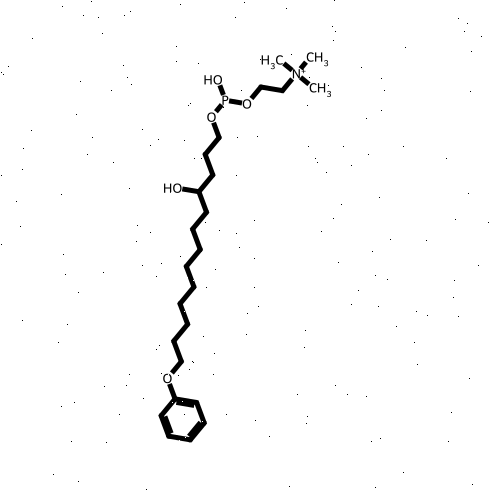 C[N+](C)(C)CCOP(O)OCCCC(O)CCCCCCCCCOc1ccccc1